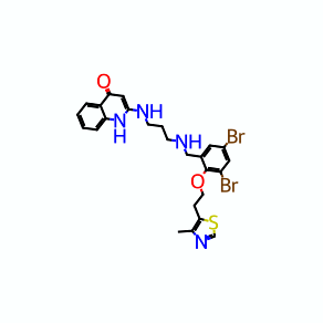 Cc1ncsc1CCOc1c(Br)cc(Br)cc1CNCCCNc1cc(=O)c2ccccc2[nH]1